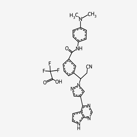 CN(C)c1ccc(NC(=O)c2cccc(C(CC#N)n3cc(-c4ncnc5[nH]ccc45)cn3)c2)cc1.O=C(O)C(F)(F)F